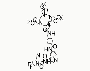 CC(C)(C)OC(=O)CN1CCN(CC(=O)NC[C@H]2CC[C@H](C(=O)Nc3ccc4nccc(C(=O)NCC(=O)N5CC(F)(F)C[C@H]5C#N)c4c3)CC2)CCN(CC(=O)OC(C)(C)C)CCN(CC(=O)OC(C)(C)C)CC1